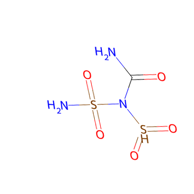 NC(=O)N([SH](=O)=O)S(N)(=O)=O